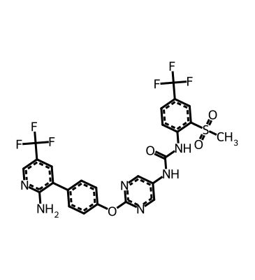 CS(=O)(=O)c1cc(C(F)(F)F)ccc1NC(=O)Nc1cnc(Oc2ccc(-c3cc(C(F)(F)F)cnc3N)cc2)nc1